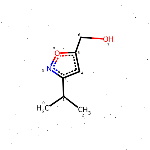 CC(C)c1cc(CO)on1